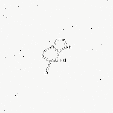 Cl.O=c1ccn2cc[nH]c2n1